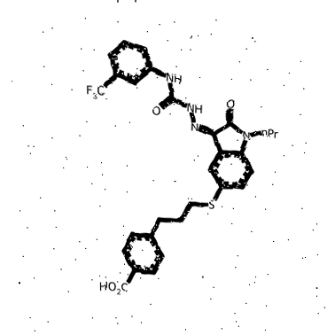 CCCN1C(=O)C(=NNC(=O)Nc2cccc(C(F)(F)F)c2)c2cc(SCCCc3ccc(C(=O)O)cc3)ccc21